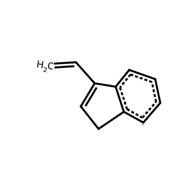 C=CC1=CCc2[c]cccc21